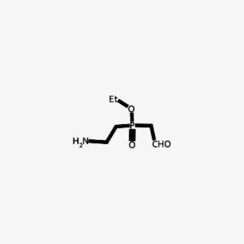 CCOP(=O)(CC=O)CCN